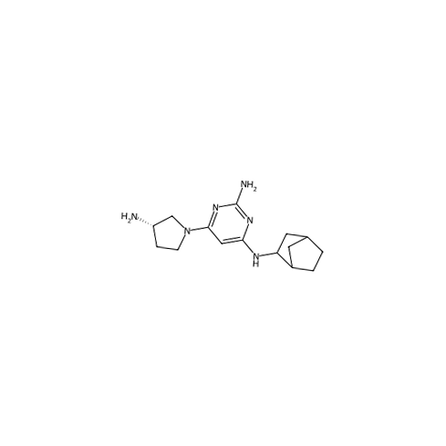 Nc1nc(NC2CC3CCC2C3)cc(N2CC[C@H](N)C2)n1